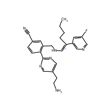 CCCC/C(=C\NCc1cc(C#N)ccc1-c1ncc(CCN)cn1)c1cncc(F)c1